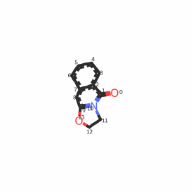 O=c1c2ccccc2cc2n1CCO2